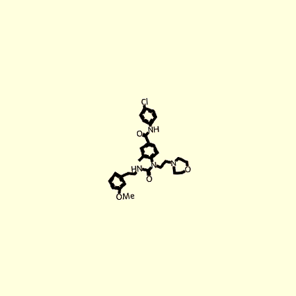 COc1cccc(CCNC(=O)N(CCN2CCOCC2)c2ccc(C(=O)Nc3ccc(Cl)cc3)cc2C)c1